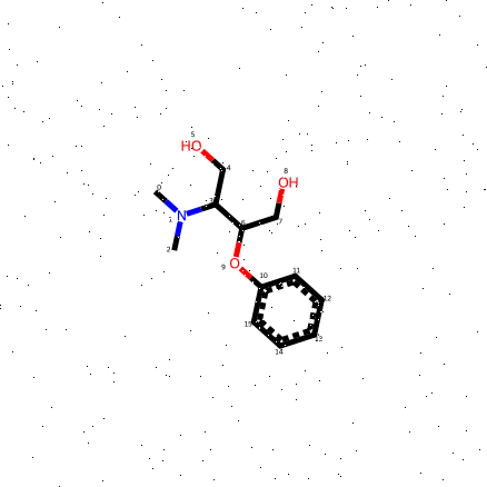 CN(C)C(CO)C(CO)Oc1cc[c]cc1